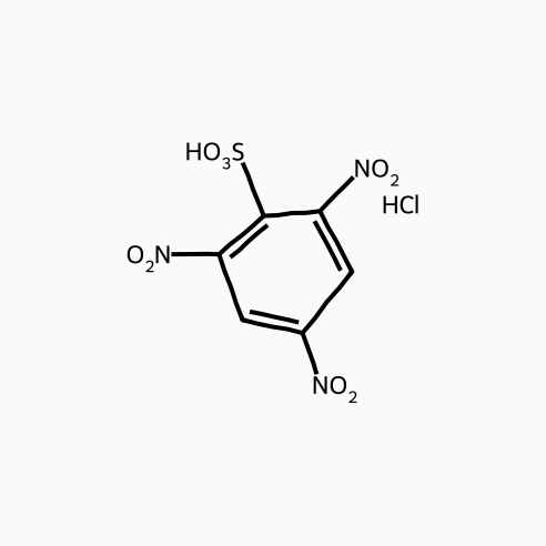 Cl.O=[N+]([O-])c1cc([N+](=O)[O-])c(S(=O)(=O)O)c([N+](=O)[O-])c1